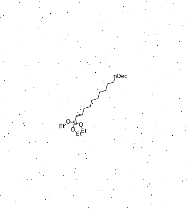 CCCCCCCCCCCCCCCCCC/C=C/[Si](OCC)(OCC)OCC